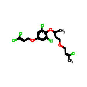 CC(CCOC/C=C(\Cl)C(F)(F)F)Oc1c(Cl)cc(OCC=C(Cl)Cl)cc1Cl